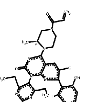 C=CC(=O)N1CCN(c2nc(=O)n(-c3c(CC)ncnc3CC)c3nc(-c4c(O)cccc4F)c(Cl)cc23)[C@@H](C)C1